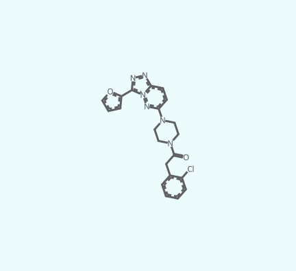 O=C(Cc1ccccc1Cl)N1CCN(c2ccc3nnc(-c4ccco4)n3n2)CC1